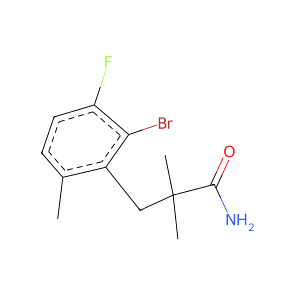 Cc1ccc(F)c(Br)c1CC(C)(C)C(N)=O